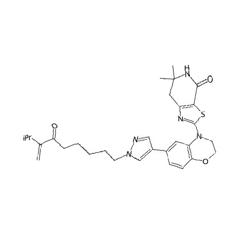 C=C(C(=O)CCCCCn1cc(-c2ccc3c(c2)N(c2nc4c(s2)C(=O)NC(C)(C)C4)CCO3)cn1)C(C)C